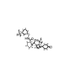 O=C(NCc1cccc(C(F)(F)F)c1)C1CCCCN1C(=O)c1cnn(-c2ccc(Cl)cc2)c1C(F)(F)F